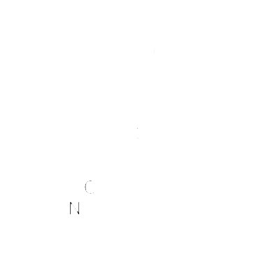 CC(C)CC12CCN(CC1)CC2